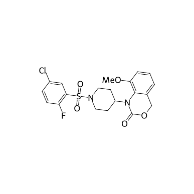 COc1cccc2c1N(C1CCN(S(=O)(=O)c3cc(Cl)ccc3F)CC1)C(=O)OC2